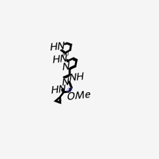 CO/C(=C/c1ncc(-c2cccc(N[C@@H]3CCCNC3)n2)[nH]1)C(=N)C1CC1